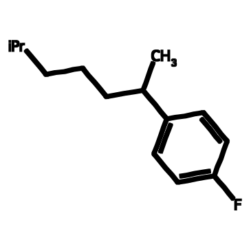 CC(C)CCCC(C)c1ccc(F)cc1